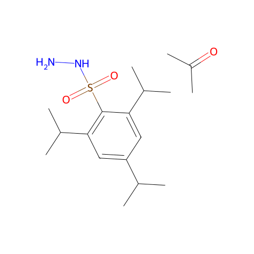 CC(C)=O.CC(C)c1cc(C(C)C)c(S(=O)(=O)NN)c(C(C)C)c1